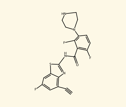 C#Cc1cc(F)cc2sc(NC(=O)c3c(F)ccc(N4CCNCC4)c3F)nc12